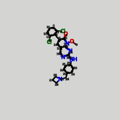 COn1c(=O)c(-c2c(Cl)cccc2Cl)cc2cnc(Nc3ccc(CN4CCC4)cc3)nc21